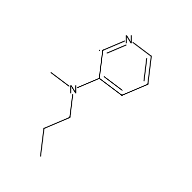 CCCN(C)c1[c]nccc1